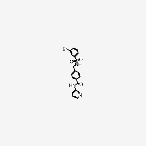 O=C(Nc1cccnc1)c1ccc(CNS(=O)(=O)c2cccc(Br)c2)cc1